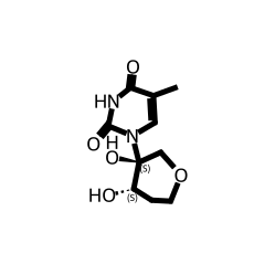 Cc1cn([C@]2(O)COCC[C@@H]2O)c(=O)[nH]c1=O